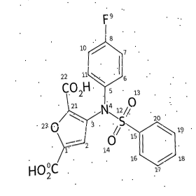 O=C(O)c1cc(N(c2ccc(F)cc2)S(=O)(=O)c2ccccc2)c(C(=O)O)o1